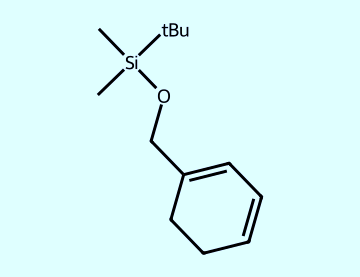 CC(C)(C)[Si](C)(C)OCC1=CC=CCC1